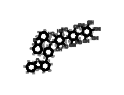 Oc1c(O)c(O)c(-c2c(O)c(O)c(-c3c(O)c(O)c(N(c4ccc(-c5cccc6c5oc5ccccc56)cc4)c4cccc5oc6ccccc6c45)c(O)c3O)c(O)c2O)c(O)c1O